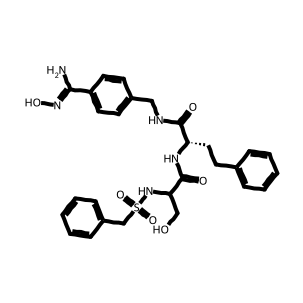 N/C(=N\O)c1ccc(CNC(=O)[C@H](CCc2ccccc2)NC(=O)C(CO)NS(=O)(=O)Cc2ccccc2)cc1